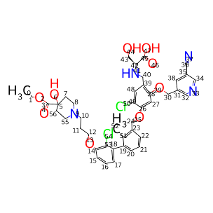 CCOC(=O)C1(O)CCN(CCCOc2cccc(-c3cccc(COc4cc(OCc5cncc(C#N)c5)c(CN[C@@H](CO)C(=O)O)cc4Cl)c3C)c2Cl)CC1